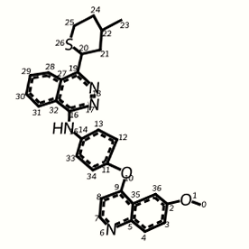 COc1ccc2nccc(Oc3ccc(Nc4nnc(C5CC(C)CCS5)c5ccccc45)cc3)c2c1